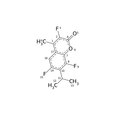 Cc1c(F)c(=O)oc2c(F)c(C(C)C)c(F)cc12